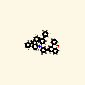 CC1(c2ccccc2)c2ccccc2-c2c(N(c3ccc(-c4ccccc4)cc3)c3cccc(-c4cc5c6c(cccc6c4)Oc4ccccc4-5)c3)cccc21